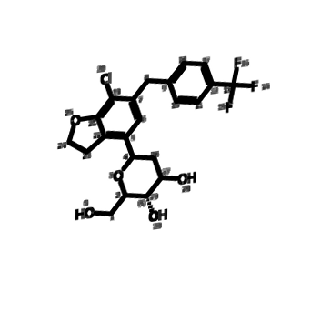 OCC1OC(c2cc(Cc3ccc(C(F)(F)F)cc3)c(Cl)c3c2CCO3)CC(O)[C@@H]1O